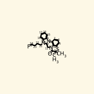 CC1(C)Sc2ccccc2N(Cc2nc3ccccc3n2CCCCF)C1=O